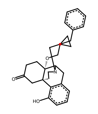 O=C1CC[C@@]2(OCCCc3ccccc3)C3Cc4cccc(O)c4[C@@]2(CCN3CC2CC2)C1